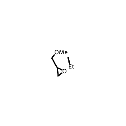 CCC.COCC1CO1